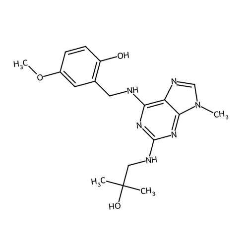 COc1ccc(O)c(CNc2nc(NCC(C)(C)O)nc3c2ncn3C)c1